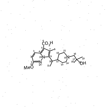 COc1ccc2c(C(=O)O)c(C)c(C(C)C3CCN(CC(C)(C)O)CC3)n2n1